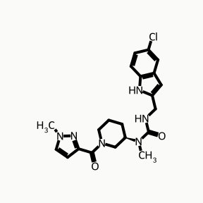 CN(C(=O)NCc1cc2cc(Cl)ccc2[nH]1)[C@@H]1CCCN(C(=O)c2ccn(C)n2)C1